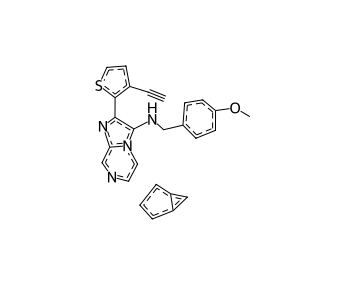 C#Cc1ccsc1-c1nc2cnccn2c1NCc1ccc(OC)cc1.c1cc2cc-2c1